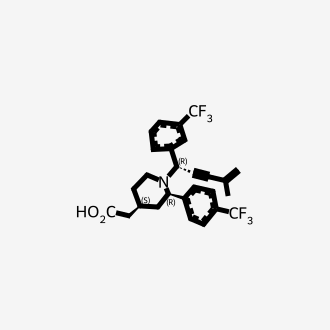 C=C(C)C#C[C@@H](c1cccc(C(F)(F)F)c1)N1CC[C@H](CC(=O)O)C[C@@H]1c1ccc(C(F)(F)F)cc1